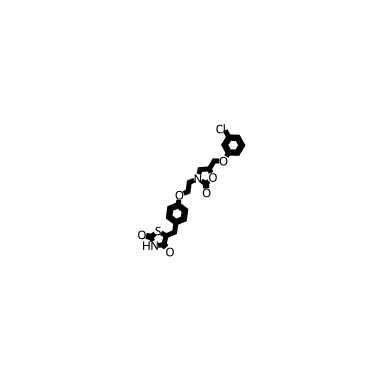 O=C1NC(=O)C(Cc2ccc(OCCN3CC(COc4cccc(Cl)c4)OC3=O)cc2)S1